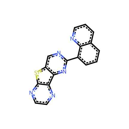 c1cnc2c(-c3ncc4sc5nccnc5c4n3)cccc2c1